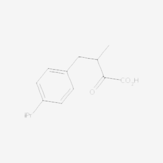 CC(Cc1ccc(C(C)C)cc1)C(=O)C(=O)O